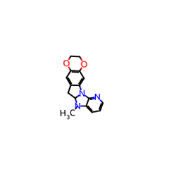 CN1c2cccnc2N2c3cc4c(cc3CC12)OCCO4